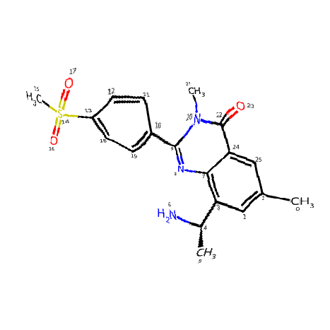 Cc1cc([C@@H](C)N)c2nc(-c3ccc(S(C)(=O)=O)cc3)n(C)c(=O)c2c1